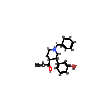 COC(=O)C1CCN(Cc2ccccc2)CC1c1cccc(Br)c1